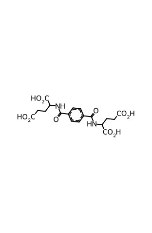 O=C(O)CCC(NC(=O)c1ccc(C(=O)NC(CCC(=O)O)C(=O)O)cc1)C(=O)O